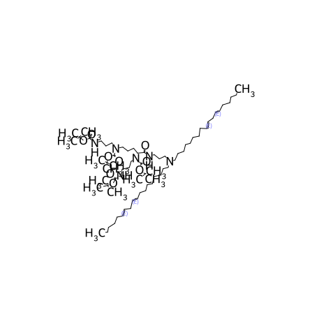 CCCCC/C=C/C/C=C/CCCCCCCCN(CCCCCCCC/C=C/C/C=C/CCCCC)CCCNC(=O)C(CCCN(CCCNC(=O)OC(C)(C)C)C(=O)OC(C)(C)C)N(CCCNC(=O)OC(C)(C)C)C(=O)OC(C)(C)C